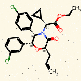 C=CC[C@H]1O[C@H](c2cccc(Cl)c2)[C@H](c2ccc(Cl)cc2)N([C@@H](C(=O)OCC)C2CC2)C1=O